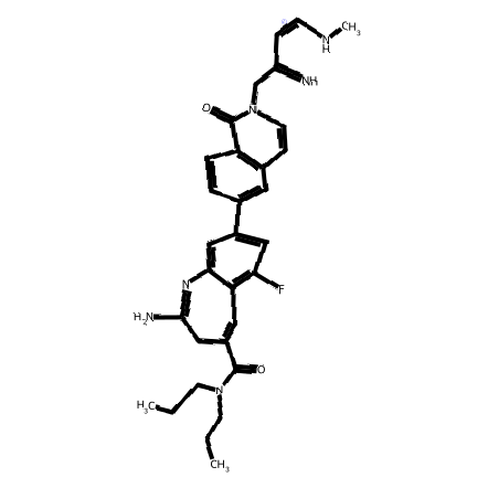 CCCN(CCC)C(=O)C1=Cc2c(F)cc(-c3ccc4c(=O)n(CC(=N)/C=C\NC)ccc4c3)cc2N=C(N)C1